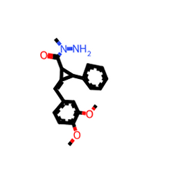 COc1ccc(C=C2C(C(=O)N(C)N)C2c2ccccc2)cc1OC